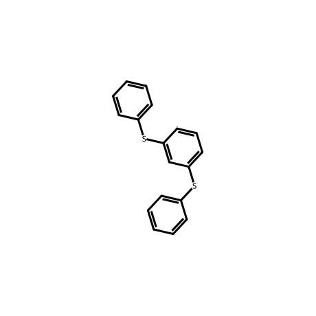 [c]1ccc(Sc2ccccc2)cc1Sc1ccccc1